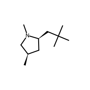 C[C@@H]1C[C@H](CC(C)(C)C)N(C)C1